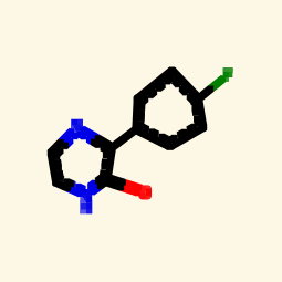 O=c1[nH]ccnc1-c1ccc(F)cc1